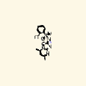 Cc1cc(C)n2o/c(=N\S(=O)(=O)c3ccccc3Cl)nc2n1